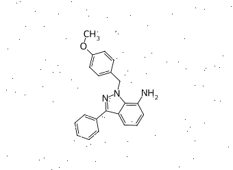 COc1ccc(Cn2nc(-c3ccccc3)c3cccc(N)c32)cc1